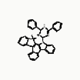 CC1(C)c2ccccc2-c2c1c1c(c3ccccc23)c2ccccc2n1C1N=C(c2ccccc2)NC(c2ccccc2)N1